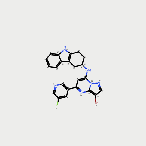 Fc1cncc(-c2cc(N[C@@H]3CCc4[nH]c5ccccc5c4C3)n3ncc(Br)c3n2)c1